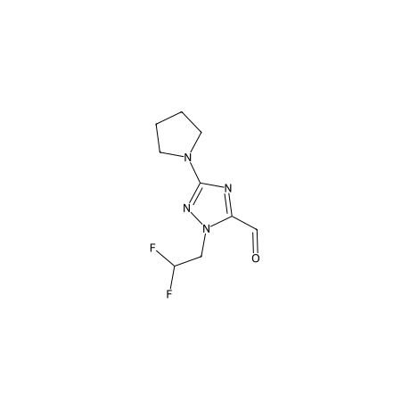 O=Cc1nc(N2CCCC2)nn1CC(F)F